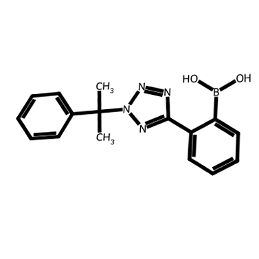 CC(C)(c1ccccc1)n1nnc(-c2ccccc2B(O)O)n1